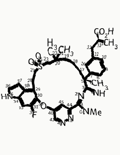 CN/C1=N\C(=N)[C@@](C)(c2cccc(C[C@H](C)C(=O)O)c2)CCCC(C)(C)CS(=O)(=O)CCc2c(c(F)cc3[nH]ccc23)Oc2cnnc1c2